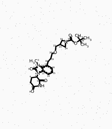 Cn1c(=O)n(C2CCC(=O)NC2=O)c2cccc(CCCOCC3CN(C(=O)OC(C)(C)C)C3)c21